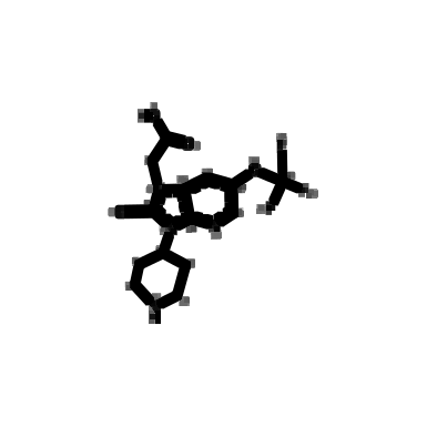 O=C(O)Cn1c(=O)n(C2CCNCC2)c2ncc(OC(F)(F)F)cc21